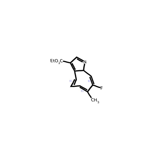 CCOC(=O)C1=C2/C=C/C=C(C)/C(F)=C\C2N=C1